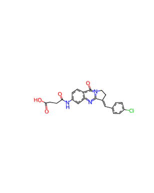 O=C(O)CCC(=O)Nc1ccc2c(=O)n3c(nc2c1)/C(=C/c1ccc(Cl)cc1)CC3